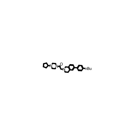 CCCCc1ccc(-c2ccc3c(c2)CCN(CC(=O)N2CCN(C4CCCC4)CC2)C3)cc1